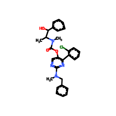 CC(C(O)c1ccccc1)N(C)C(=O)Oc1cnc(N(C)Cc2ccccc2)nc1-c1ccccc1Cl